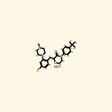 CN1CCN(c2cc(F)ccc2CC2OCCN(c3ccc(C(C)(C)C)cc3)C2=O)CC1.Cl